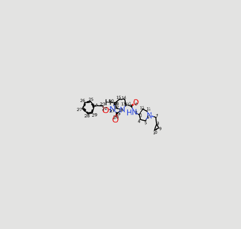 O=C(NC1CCN(CC2CC2)CC1)[C@@H]1CC[C@@H]2CN1C(=O)N2OCc1ccccc1